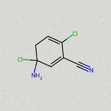 N#CC1=CC(N)(Cl)CC=C1Cl